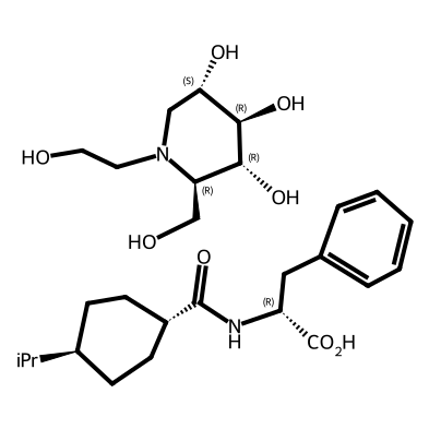 CC(C)[C@H]1CC[C@H](C(=O)N[C@H](Cc2ccccc2)C(=O)O)CC1.OCCN1C[C@H](O)[C@@H](O)[C@H](O)[C@H]1CO